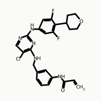 C=CC(=O)Nc1cccc(CNc2nc(Nc3cc(F)c(C4CCOCC4)c(F)c3)ncc2Cl)c1